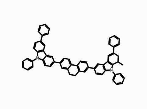 CC1CC(c2ccccc2)=Cc2c1n(-c1ccccc1)c1ccc(-c3ccc4c(c3)CCc3cc(-c5ccc6c(c5)c5cc(-c7ccccc7)ccc5n6-c5ccccc5)ccc3-4)cc21